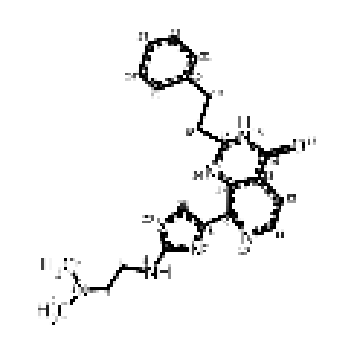 CN(C)CCNc1nc(-c2nccc3c(=O)[nH]c(CCc4ccccc4)nc23)cs1